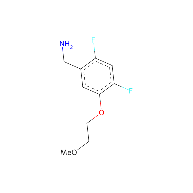 COCCOc1cc(CN)c(F)cc1F